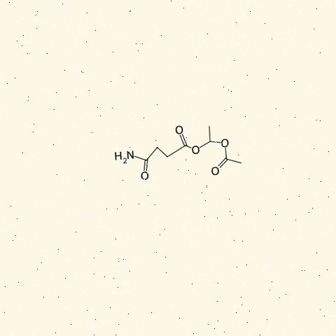 CC(=O)OC(C)OC(=O)CCC(N)=O